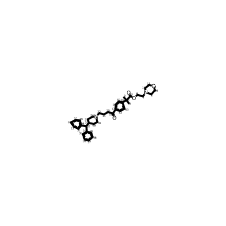 CC(C)(C(=O)OCCN1CCOCC1)c1ccc(C(=O)CCCN2CCC(C(c3ccccc3)c3ccccc3)CC2)cc1